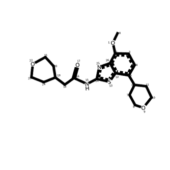 COc1ccc(C2CCOCC2)c2sc(NC(=O)CC3CCOCC3)nc12